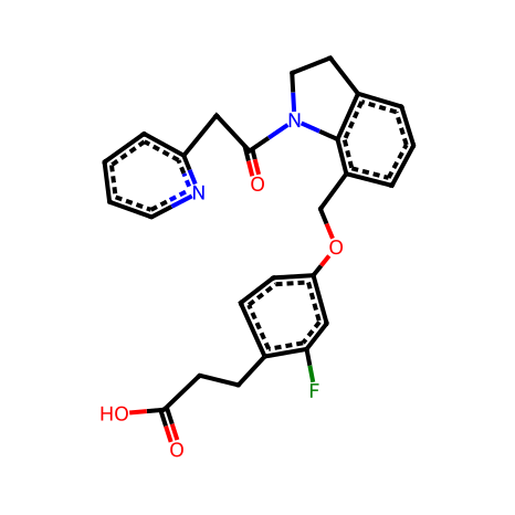 O=C(O)CCc1ccc(OCc2cccc3c2N(C(=O)Cc2ccccn2)CC3)cc1F